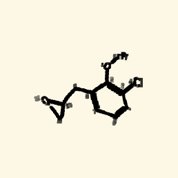 CCCOc1c(Cl)cccc1CC1CO1